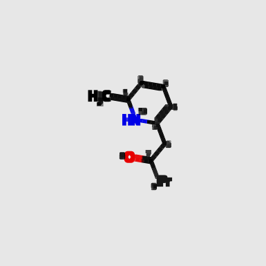 C=C1C=CC=C(CC(=O)C(C)C)N1